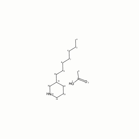 CC(=O)O.CCCCCCCC1CCCNC1